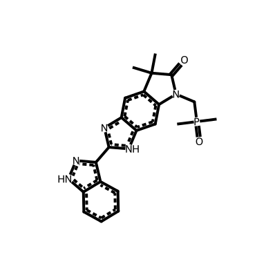 CC1(C)C(=O)N(CP(C)(C)=O)c2cc3[nH]c(-c4n[nH]c5ccccc45)nc3cc21